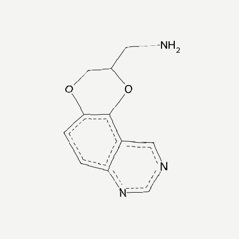 NCC1COc2ccc3ncncc3c2O1